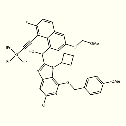 COCOc1cc(C(O)c2nc3nc(Cl)nc(SCc4ccc(OC)cc4)c3n2C2CCC2)c2c(C#C[Si](C(C)C)(C(C)C)C(C)C)c(F)ccc2c1